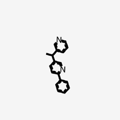 CC(c1cccnc1)c1ccc(-c2ccccc2)nc1